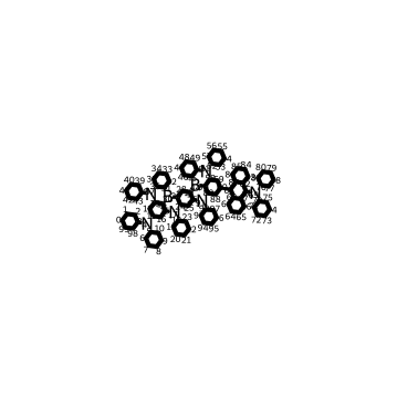 c1ccc(N(c2ccccc2)c2cc3c4c(c2)N(c2ccccc2)c2cc5c(cc2B4c2ccccc2N3c2ccccc2)B2c3ccccc3N(c3ccccc3)c3cc(-c4c6ccccc6c(N(c6ccccc6)c6ccccc6)c6ccccc46)cc(c32)N5c2ccccc2)cc1